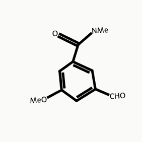 CNC(=O)c1cc(C=O)cc(OC)c1